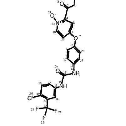 CCC(=O)c1cc(Oc2ccc(NC(=O)Nc3ccc(Cl)c(C(F)(F)F)c3)cc2)cc[n+]1[O-]